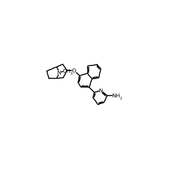 CN1C2CCC1CC(Oc1ccc(-c3cccc(N)n3)c3ccccc13)C2